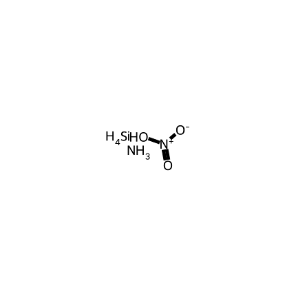 N.O=[N+]([O-])O.[SiH4]